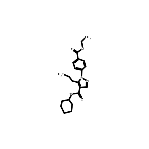 CCCc1c(C(=O)NC2CCCCC2)cnn1-c1ccc(C(=O)OCC)cc1